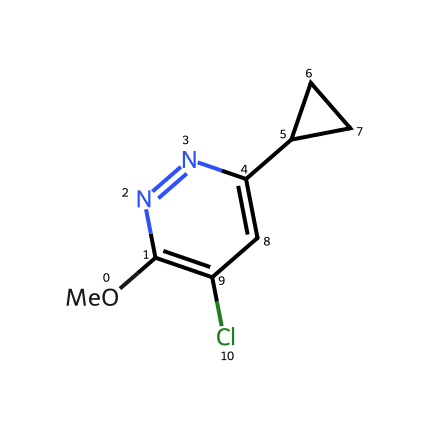 COc1nnc(C2CC2)cc1Cl